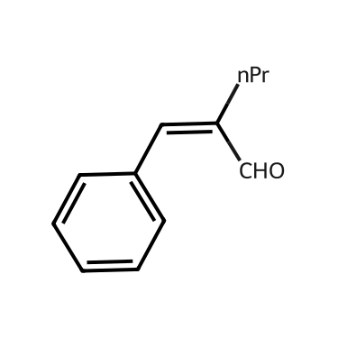 CCCC(C=O)=Cc1ccccc1